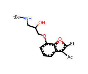 CCc1oc2c(OCC(O)CNC(C)(C)C)cccc2c1C(C)=O